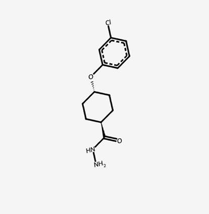 NNC(=O)[C@H]1CC[C@H](Oc2cccc(Cl)c2)CC1